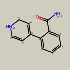 NC(=O)c1ccccc1C1=CCNC=C1